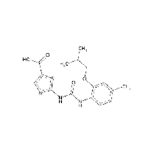 Cc1ccc(NC(=O)Nc2ncc(C(=O)O)s2)c(OCC(C)C)c1